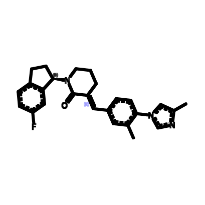 Cc1cn(-c2ccc(/C=C3\CCCN([C@@H]4CCc5ccc(F)cc54)C3=O)cc2C)cn1